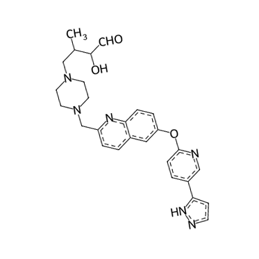 CC(CN1CCN(Cc2ccc3cc(Oc4ccc(-c5ccn[nH]5)cn4)ccc3n2)CC1)C(O)C=O